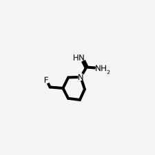 N=C(N)N1CCCC(CF)C1